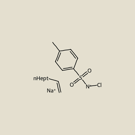 C=CCCCCCCC.Cc1ccc(S(=O)(=O)[N-]Cl)cc1.[Na+]